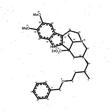 CCOC(=O)C12C[C@H](CC(C)CCOCc3ccccc3)CN(CCc3c1[nH]c1cc(OC)c(OC)cc31)C2C